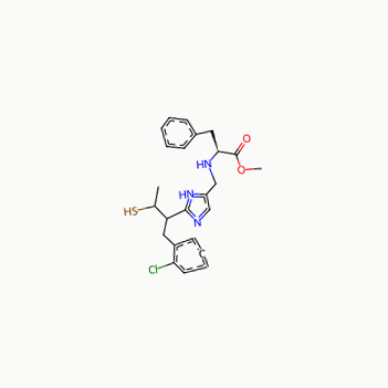 COC(=O)[C@H](Cc1ccccc1)NCc1cnc(C(Cc2ccccc2Cl)C(C)S)[nH]1